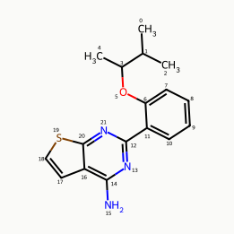 CC(C)C(C)Oc1ccccc1-c1nc(N)c2ccsc2n1